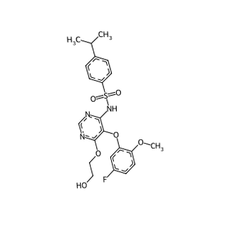 COc1ccc(F)cc1Oc1c(NS(=O)(=O)c2ccc(C(C)C)cc2)ncnc1OCCO